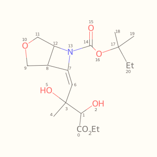 CCOC(=O)C(O)C(C)(O)/C=C1\C2COCC2N1C(=O)OC(C)(C)CC